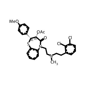 COc1ccc([C@H]2Sc3ccccc3N(CCN(C)CCc3cccc(Cl)c3Cl)C(=O)[C@H]2OC(C)=O)cc1